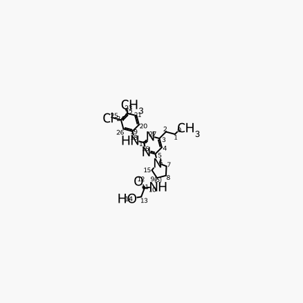 CCCc1cc(N2CC[C@H](NC(=O)CO)C2)nc(Nc2ccc(C)c(Cl)c2)n1